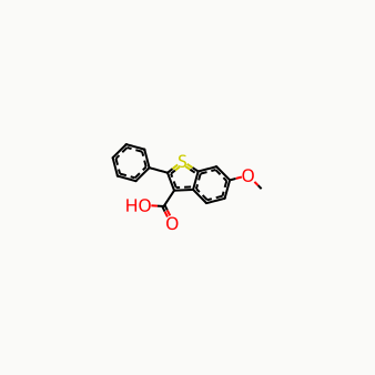 COc1ccc2c(C(=O)O)c(-c3ccccc3)sc2c1